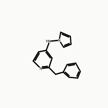 c1ccc(Cc2cc(Nn3cccc3)ccn2)cc1